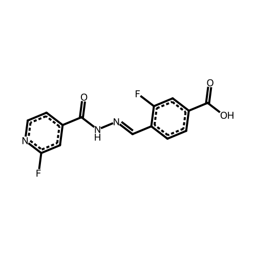 O=C(O)c1ccc(/C=N/NC(=O)c2ccnc(F)c2)c(F)c1